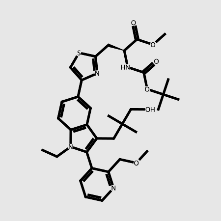 CCn1c(-c2cccnc2COC)c(CC(C)(C)CO)c2cc(-c3csc(C[C@H](NC(=O)OC(C)(C)C)C(=O)OC)n3)ccc21